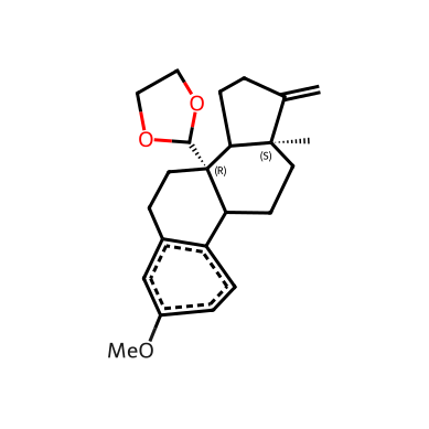 C=C1CCC2[C@]3(C4OCCO4)CCc4cc(OC)ccc4C3CC[C@]12C